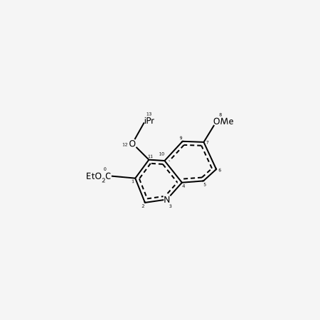 CCOC(=O)c1cnc2ccc(OC)cc2c1OC(C)C